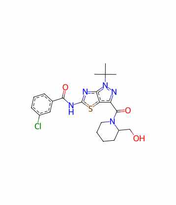 CC(C)(C)n1nc(C(=O)N2CCCCC2CO)c2sc(NC(=O)c3cccc(Cl)c3)nc21